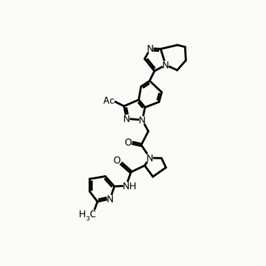 CC(=O)c1nn(CC(=O)N2CCCC2C(=O)Nc2cccc(C)n2)c2ccc(-c3cnc4n3CCCC4)cc12